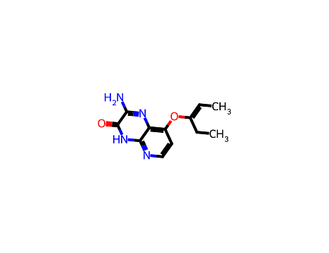 C/C=C(\CC)Oc1ccnc2[nH]c(=O)c(N)nc12